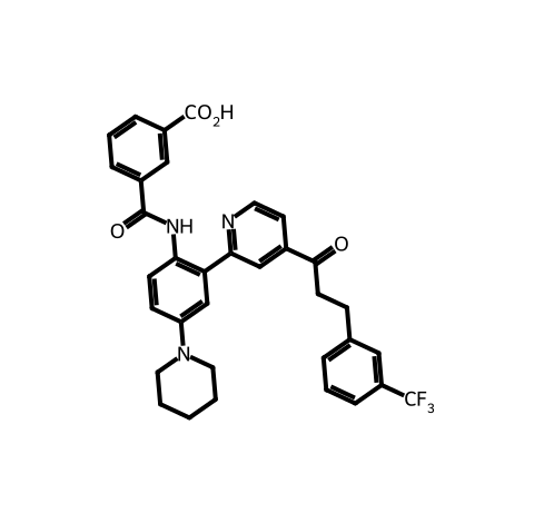 O=C(O)c1cccc(C(=O)Nc2ccc(N3CCCCC3)cc2-c2cc(C(=O)CCc3cccc(C(F)(F)F)c3)ccn2)c1